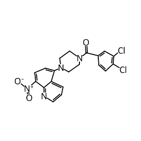 O=C(c1ccc(Cl)c(Cl)c1)N1CCN(c2ccc([N+](=O)[O-])c3ncccc23)CC1